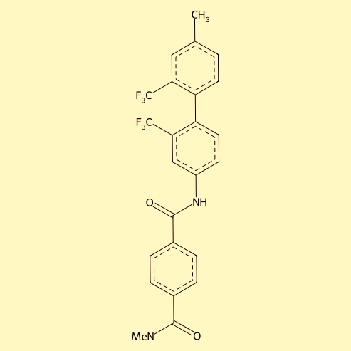 CNC(=O)c1ccc(C(=O)Nc2ccc(-c3ccc(C)cc3C(F)(F)F)c(C(F)(F)F)c2)cc1